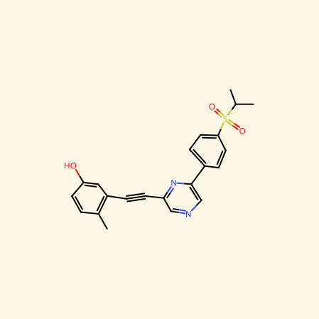 Cc1ccc(O)cc1C#Cc1cncc(-c2ccc(S(=O)(=O)C(C)C)cc2)n1